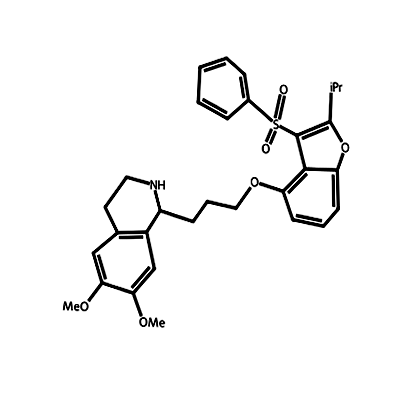 COc1cc2c(cc1OC)C(CCCOc1cccc3oc(C(C)C)c(S(=O)(=O)c4ccccc4)c13)NCC2